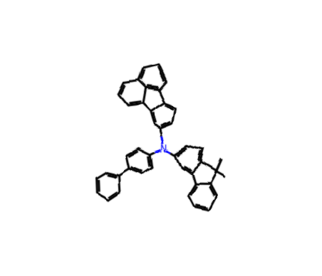 CC1(C)c2ccccc2-c2cc(N(c3ccc(-c4ccccc4)cc3)c3ccc4c(c3)-c3cccc5cccc-4c35)ccc21